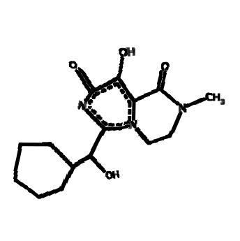 CN1CCn2c(C(O)C3CCCCC3)nc(=O)c(O)c2C1=O